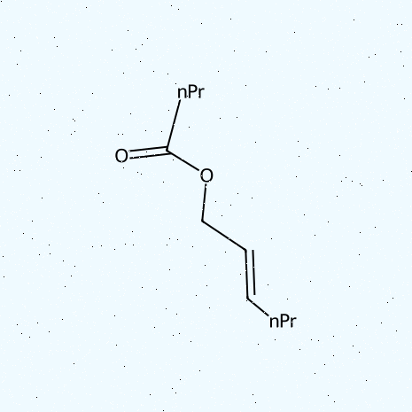 CCCC=CCOC(=O)CCC